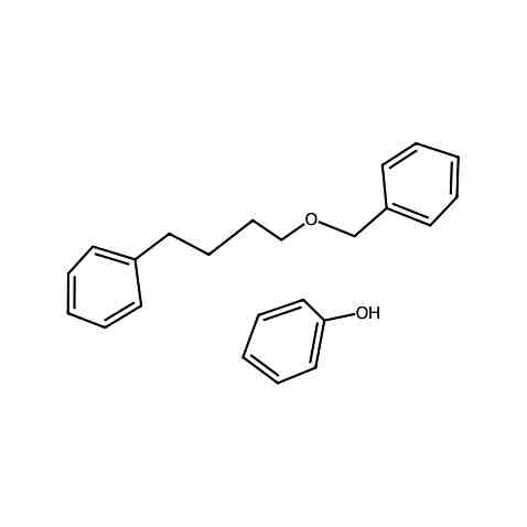 Oc1ccccc1.c1ccc(CCCCOCc2ccccc2)cc1